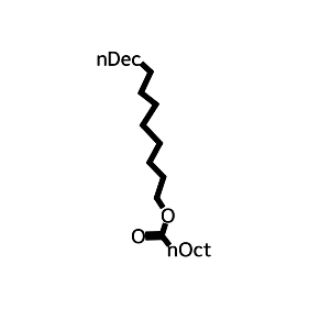 CCCCCCCCCCCCCCCCCCOC(=O)CCCCCCCC